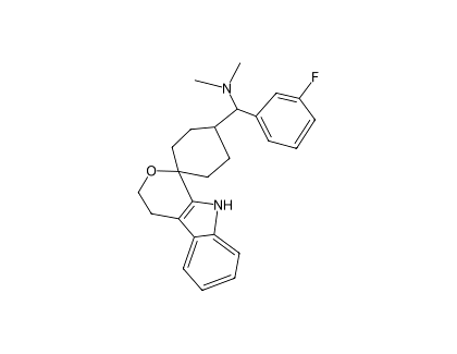 CN(C)C(c1cccc(F)c1)C1CCC2(CC1)OCCc1c2[nH]c2ccccc12